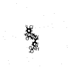 COC(=O)Nc1ccc(-c2cnc3cnc(C(=O)N(C)c4ccc(Cl)c(C)c4)cn23)cn1